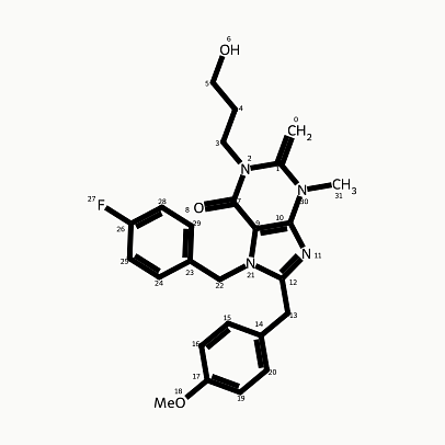 C=C1N(CCCO)C(=O)c2c(nc(Cc3ccc(OC)cc3)n2Cc2ccc(F)cc2)N1C